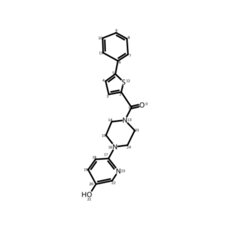 O=C(c1ccc(-c2ccccc2)s1)N1CCN(c2ccc(O)cn2)CC1